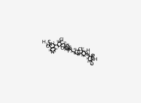 COc1cc(-c2cn(C)c(=O)c3cnccc23)cc(Cl)c1CN1CCC(F)(CCC2CCN(c3ccc(NC4CCC(=O)NC4=O)cc3Cl)CC2)CC1